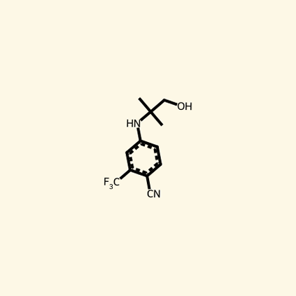 CC(C)(CO)Nc1ccc(C#N)c(C(F)(F)F)c1